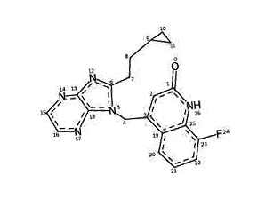 O=c1cc(Cn2c(CCC3CC3)nc3nccnc32)c2cccc(F)c2[nH]1